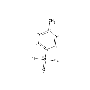 Cc1ccc(P(=O)(F)F)cc1